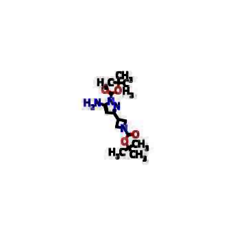 CC(C)(C)OC(=O)N1CC(c2cc(N)n(C(=O)OC(C)(C)C)n2)C1